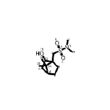 CN(C)S(=O)(=O)CC12CCC(CC1O)C2(C)C